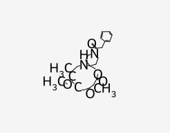 COC1CCC(=O)C(C)C(=O)OCC2(CCN(C(=O)Cc3ccccc3)CC2)NC[C@H](C)C1